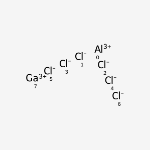 [Al+3].[Cl-].[Cl-].[Cl-].[Cl-].[Cl-].[Cl-].[Ga+3]